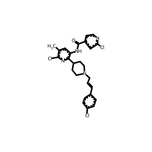 Cc1cc(NC(=O)c2ccnc(Cl)c2)c(C2CCN(C/C=C/c3ccc(Cl)cc3)CC2)nc1Cl